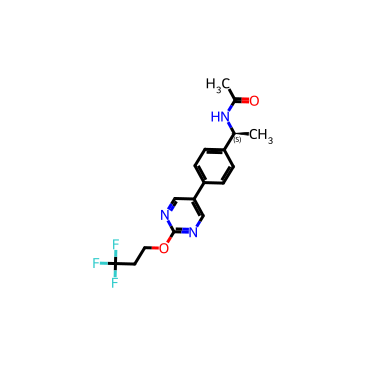 CC(=O)N[C@@H](C)c1ccc(-c2cnc(OCCC(F)(F)F)nc2)cc1